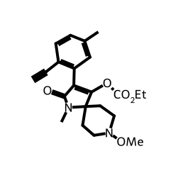 C#Cc1ccc(C)cc1C1=C(OC(=O)OCC)C2(CCN(OC)CC2)N(C)C1=O